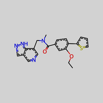 CCOc1cc(C(=O)N(C)Cc2cncc3cn[nH]c23)ccc1-c1cccs1